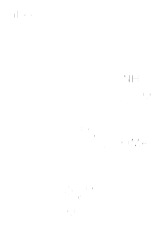 CCCCCCCCCCCCCCCCCCNC(=O)OCC(CS(=O)(=O)CCCOS(C)(=O)=O)OC